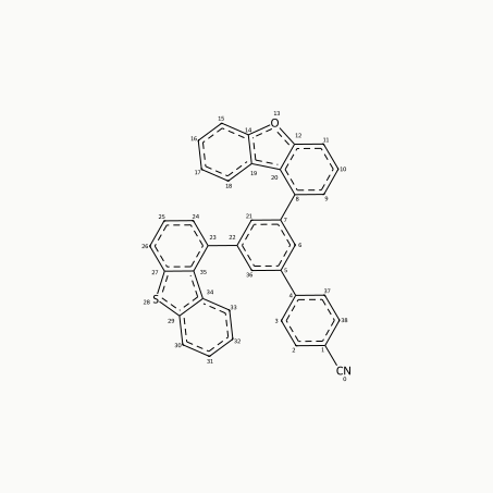 N#Cc1ccc(-c2cc(-c3cccc4oc5ccccc5c34)cc(-c3cccc4sc5ccccc5c34)c2)cc1